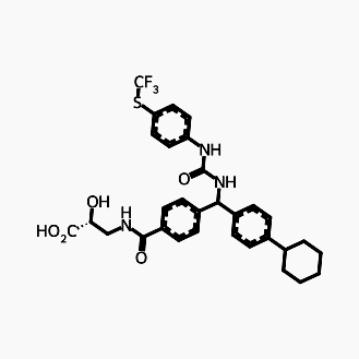 O=C(Nc1ccc(SC(F)(F)F)cc1)NC(c1ccc(C(=O)NC[C@@H](O)C(=O)O)cc1)c1ccc(C2CCCCC2)cc1